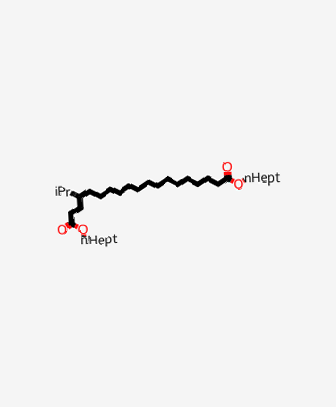 CCCCCCCOC(=O)CCCCCCCCCCCCCCC(CCC(=O)OCCCCCCC)C(C)C